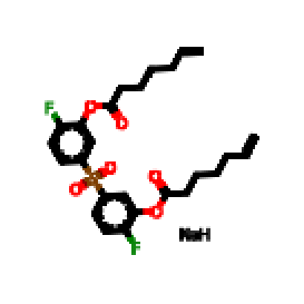 C=CCCCCC(=O)Oc1cc(S(=O)(=O)c2ccc(F)c(OC(=O)CCCCC=C)c2)ccc1F.[NaH]